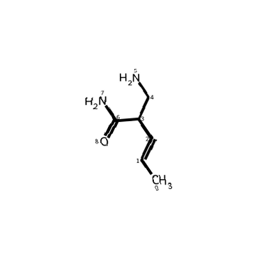 CC=CC(CN)C(N)=O